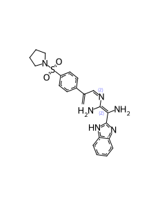 C=C(/C=N\C(N)=C(/N)c1nc2ccccc2[nH]1)c1ccc(S(=O)(=O)N2CCCC2)cc1